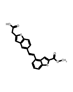 COC(=O)c1cc2c(/C=C/c3ccc4sc(CC(=O)O)cc4c3)cccc2s1